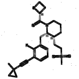 CC1(C#Cc2cccc(C[C@H]3[C@@H](CCS(C)(=O)=O)CCCN3C(=O)[C@H]3CCO3)c2F)CC1